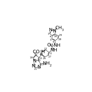 Cn1ncc2cc(NC(=O)Nc3ccc(-c4c(C(=O)O)cn5ncnc(N)c45)cc3)ccc21